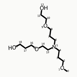 COCCCN(CCCOCCO)CCOCCCO